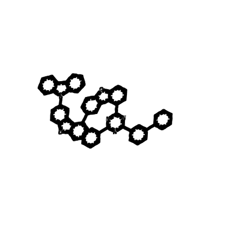 c1ccc(-c2cccc(-c3nc(-c4ccccc4)nc(-c4cccc5oc6ccc(-c7cccc8oc9ccc(-n%10c%11ccccc%11c%11ccccc%11%10)cc9c78)cc6c45)n3)c2)cc1